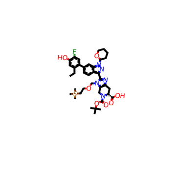 CCc1cc(O)c(F)cc1-c1ccc2c(-c3nc4c(n3COCCS(C)(C)C)CN(C(=O)OC(C)(C)C)[C@H](C(=O)O)C4)nn(C3CCCCO3)c2c1